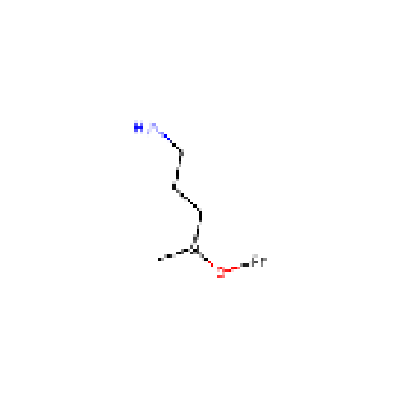 CCO[Si](C)CCCN